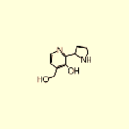 OCc1ccnc(C2CCCN2)c1O